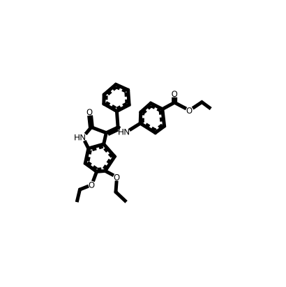 CCOC(=O)c1ccc(NC(=C2C(=O)Nc3cc(OCC)c(OCC)cc32)c2ccccc2)cc1